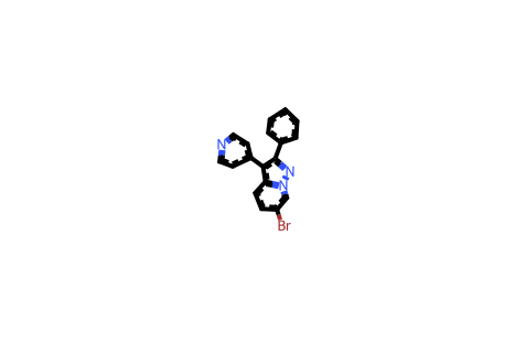 Brc1ccc2c(-c3ccncc3)c(-c3ccccc3)nn2c1